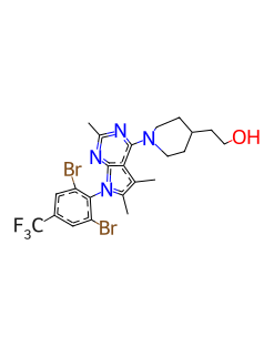 Cc1nc(N2CCC(CCO)CC2)c2c(C)c(C)n(-c3c(Br)cc(C(F)(F)F)cc3Br)c2n1